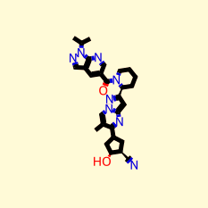 Cc1cn2nc([C@@H]3CCCCN3C(=O)c3cnc4c(cnn4C(C)C)c3)cc2nc1C1C[C@@H](C#N)[C@@H](O)C1